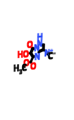 [C-]#[N+]c1c[nH]n2c(=O)c(O)c(C(=O)OC)nc12